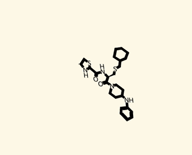 O=C(N[C@@H](CSCC1CCCCC1)C(=O)N1CCC(Nc2ccccc2)CC1)C1N[CH]CS1